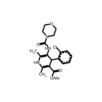 COC(=O)C1=C(C)NC(C)=C(NC(=O)N2CCOCC2)C1c1ccccc1Cl